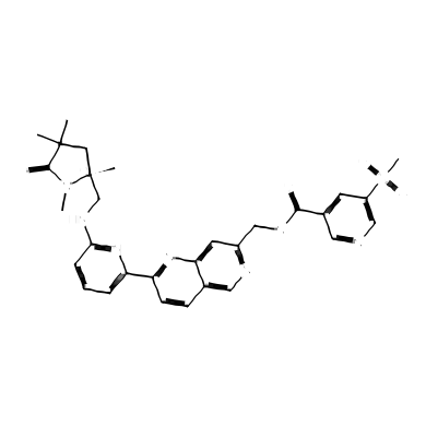 CN1C(=O)C(C)(C)C[C@]1(C)CNc1cccc(-c2ccc3cnc(CNC(=O)c4cncc(S(C)(=O)=O)c4)cc3n2)n1